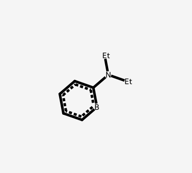 CCN(CC)c1bcccc1